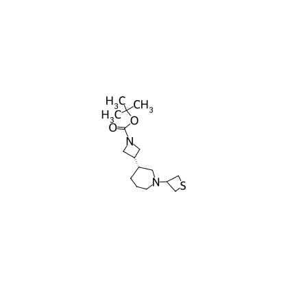 CC(C)(C)OC(=O)N1CC([C@H]2CCCN(C3CSC3)C2)C1